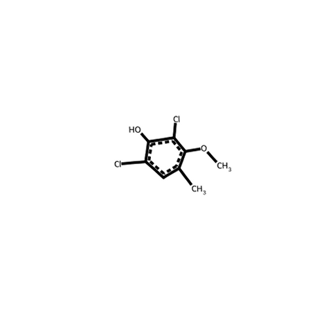 COc1c(C)cc(Cl)c(O)c1Cl